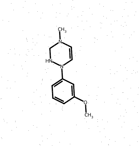 COc1cccc(N2C=CN(C)CN2)c1